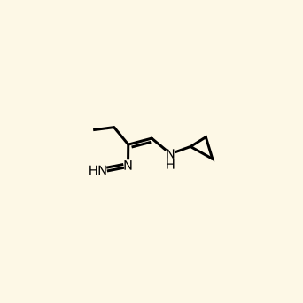 CC/C(=C/NC1CC1)N=N